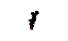 Cc1cc(Nc2nccc(-c3ccc(NC4CCCCC4)nc3)n2)ccc1N1CC2CC1CN2C